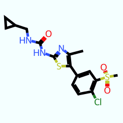 Cc1nc(NC(=O)NCC2CC2)sc1-c1ccc(Cl)c(S(C)(=O)=O)c1